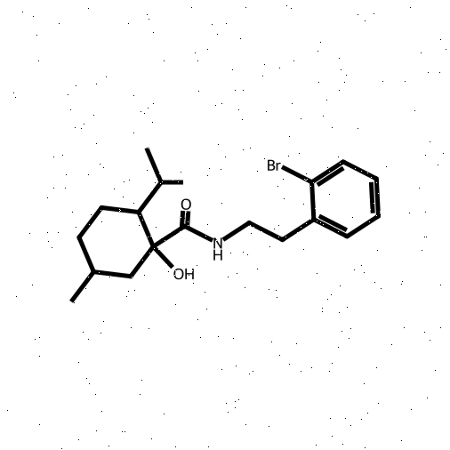 CC1CCC(C(C)C)C(O)(C(=O)NCCc2ccccc2Br)C1